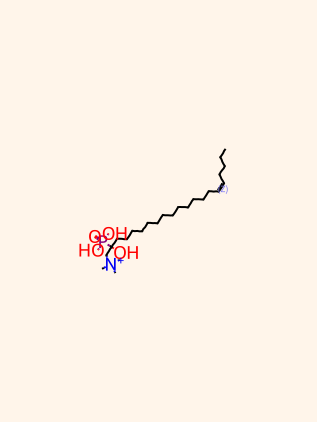 CCCC/C=C\CCCCCCCCCCCCCC(O)(C[N+](C)(C)C)P(=O)(O)O